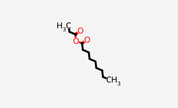 CCCCCCCCC(=O)OC(=O)CC